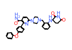 NC(=O)c1ccc(N2CCN(Cc3ccccc3NC3CCC(=O)NC3=O)CC2)nc1-c1ccc(Oc2ccccc2)cc1